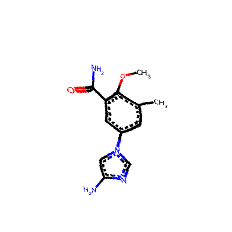 COc1c(C)cc(-n2cnc(N)c2)cc1C(N)=O